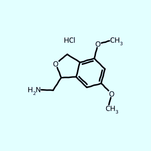 COc1cc(OC)c2c(c1)C(CN)OC2.Cl